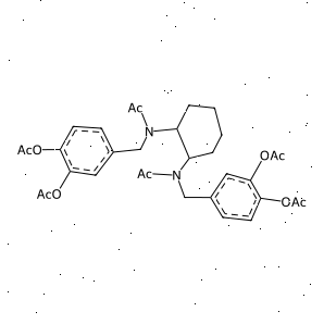 CC(=O)Oc1ccc(CN(C(C)=O)C2CCCCC2N(Cc2ccc(OC(C)=O)c(OC(C)=O)c2)C(C)=O)cc1OC(C)=O